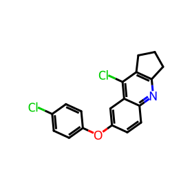 Clc1ccc(Oc2ccc3nc4c(c(Cl)c3c2)CCC4)cc1